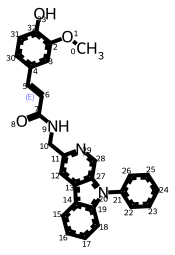 COc1cc(/C=C/C(=O)NCc2cc3c4ccccc4n(-c4ccccc4)c3cn2)ccc1O